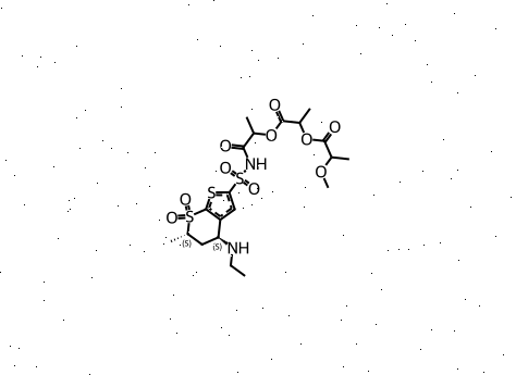 CCN[C@H]1C[C@H](C)S(=O)(=O)c2sc(S(=O)(=O)NC(=O)C(C)OC(=O)C(C)OC(=O)C(C)OC)cc21